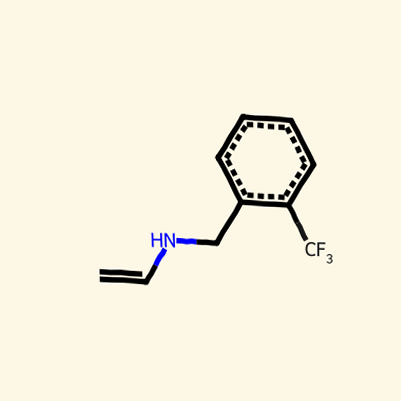 C=CNCc1ccccc1C(F)(F)F